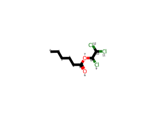 CCCCCC(=O)OC(Cl)C(Cl)Cl